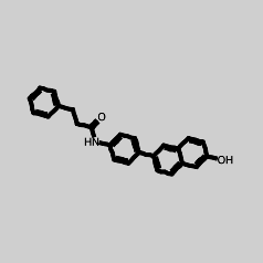 O=C(CCc1ccccc1)Nc1ccc(-c2ccc3cc(O)ccc3c2)cc1